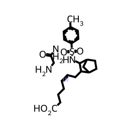 Cc1ccc(S(=O)(=O)NC2C3CCC(C3)C2C/C=C\CCCC(=O)O)cc1.NCC(N)=O